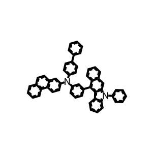 c1ccc(-c2ccc(N(c3cccc(-c4c5ccccc5cc5c4c4ccccc4n5-c4ccccc4)c3)c3ccc4c(ccc5ccccc54)c3)cc2)cc1